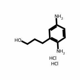 Cl.Cl.Nc1ccc(N)c(CCCO)c1